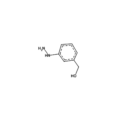 NNc1cccc(CO)c1